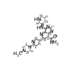 CN1CCN(c2ccc(-c3cc(C(N)=O)c4ncnc(N[C@H]5CCCNC5)c4n3)cn2)CC1